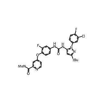 CNC(=O)c1cc(Oc2ccc(NC(=O)Nc3cc(C(C)(C)C)nn3-c3ccc(F)c(Cl)c3)cc2F)ccn1